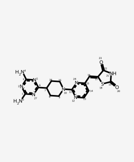 Nc1nc(N)nc(C2CCN(c3nccc(/C=C4\SC(=O)NC4=O)n3)CC2)n1